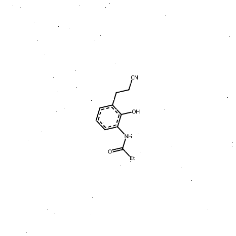 CCC(=O)Nc1cccc(CCC#N)c1O